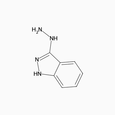 NNc1n[nH]c2ccccc12